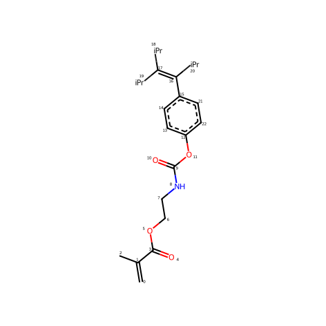 C=C(C)C(=O)OCCNC(=O)Oc1ccc(C(=C(C(C)C)C(C)C)C(C)C)cc1